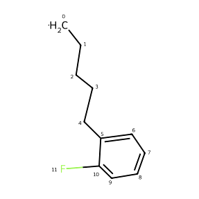 [CH2]CCCCc1ccccc1F